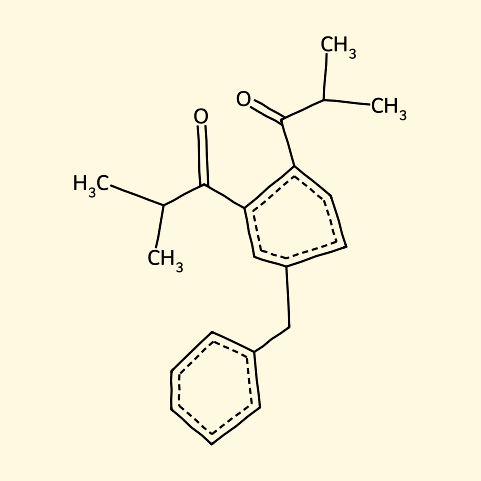 CC(C)C(=O)c1ccc(Cc2ccccc2)cc1C(=O)C(C)C